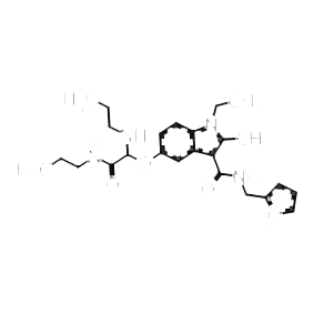 CCCNC(=O)C(NCCC)Oc1ccc2c(c1)c(C(=O)NCc1ccco1)c(C)n2CC